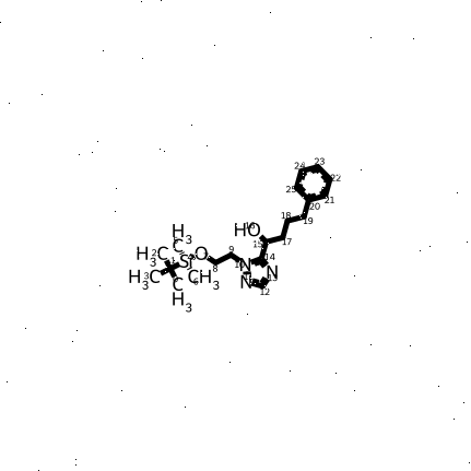 CC(C)(C)[Si](C)(C)OCCn1ncnc1C(O)CCCc1ccccc1